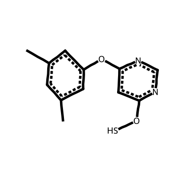 Cc1cc(C)cc(Oc2cc(OS)ncn2)c1